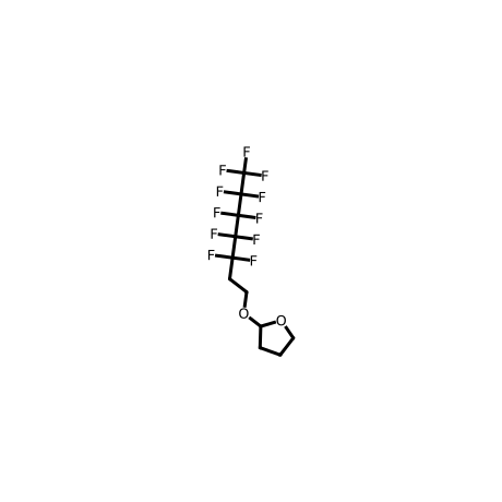 FC(F)(F)C(F)(F)C(F)(F)C(F)(F)C(F)(F)CCOC1CCCO1